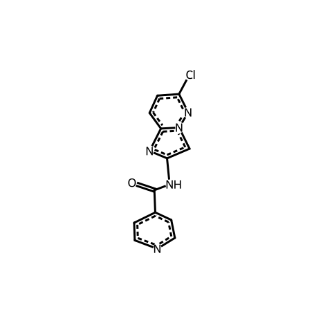 O=C(Nc1cn2nc(Cl)ccc2n1)c1ccncc1